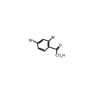 O=C(O)C(=O)c1ccc(Br)cc1Br